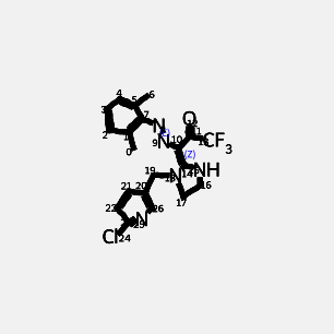 Cc1cccc(C)c1/N=N/C(C(=O)C(F)(F)F)=C1/NCCN1Cc1ccc(Cl)nc1